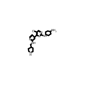 NC1CCC(Nc2ncc(Cl)c(-c3ccnc(NCC4CCNCC4)c3)n2)CC1